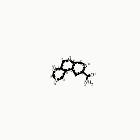 NC(=O)c1cc2c(cn1)ncc1ncncc12